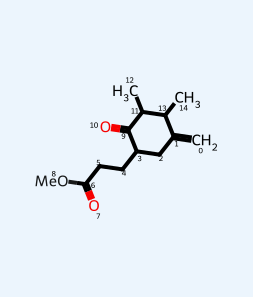 C=C1CC(CCC(=O)OC)C(=O)C(C)C1C